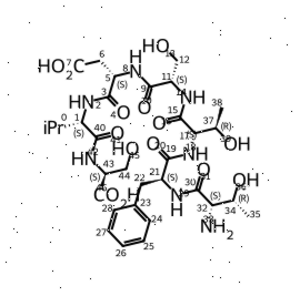 CC(C)[C@H](NC(=O)[C@H](CC(=O)O)NC(=O)[C@H](CO)NC(=O)[C@@H](NC(=O)[C@H](Cc1ccccc1)NC(=O)[C@@H](N)[C@@H](C)O)[C@@H](C)O)C(=O)N[C@@H](CO)C(=O)O